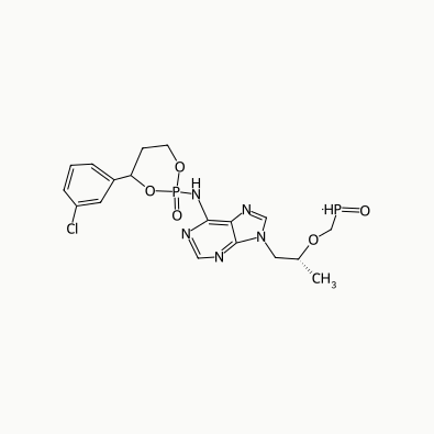 C[C@H](Cn1cnc2c(NP3(=O)OCCC(c4cccc(Cl)c4)O3)ncnc21)OC[PH]=O